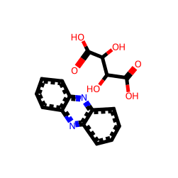 O=C(O)C(O)C(O)C(=O)O.c1ccc2nc3ccccc3nc2c1